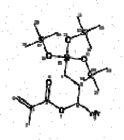 C=C(C)C(=O)OC(CCC)CC[Si](O[Si](C)(C)C)(O[Si](C)(C)C)O[Si](C)(C)C